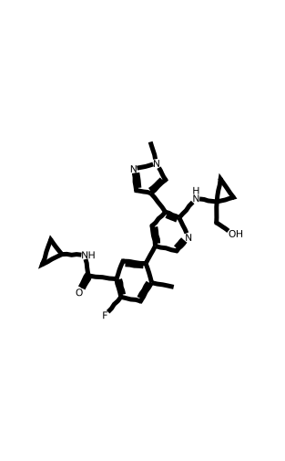 Cc1cc(F)c(C(=O)NC2CC2)cc1-c1cnc(NC2(CO)CC2)c(-c2cnn(C)c2)c1